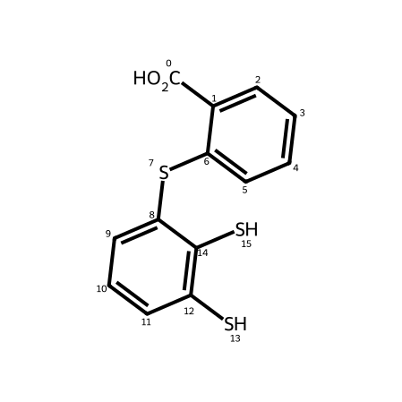 O=C(O)c1ccccc1Sc1cccc(S)c1S